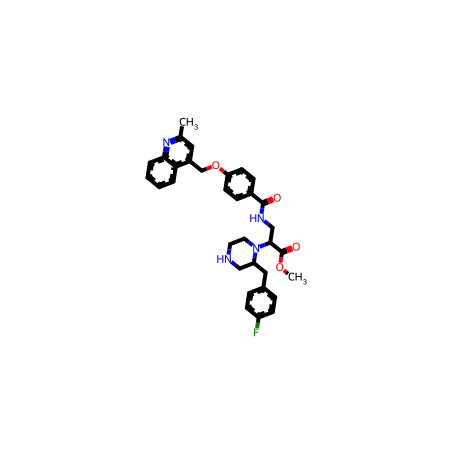 COC(=O)C(CNC(=O)c1ccc(OCc2cc(C)nc3ccccc23)cc1)N1CCNCC1Cc1ccc(F)cc1